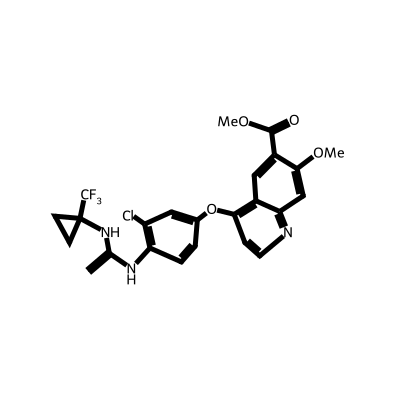 C=C(Nc1ccc(Oc2ccnc3cc(OC)c(C(=O)OC)cc23)cc1Cl)NC1(C(F)(F)F)CC1